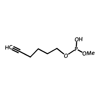 C#CCCCCOP(O)OC